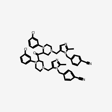 Cc1ncc(CN2CCN(c3cccc(Cl)c3)C(C(=O)C3CN(Cc4cnc(C)n4Cc4ccc(C#N)cc4)CCN3c3cccc(Cl)c3)C2)n1Cc1ccc(C#N)cc1